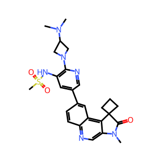 CN1C(=O)C2(CCC2)c2c1cnc1ccc(-c3cnc(N4CC(N(C)C)C4)c(NS(C)(=O)=O)c3)cc21